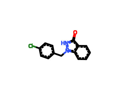 O=c1[nH]n(Cc2ccc(Cl)cc2)c2ccccc12